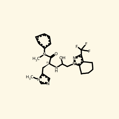 CN(C(=O)[C@H](Cc1cncn1C)NC(O)Cn1nc(C(F)(F)F)c2c1CCCC2)c1ccccc1